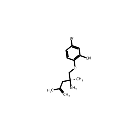 C=C(C)C[C@](C)(N)COc1ccc(Br)cc1C#N